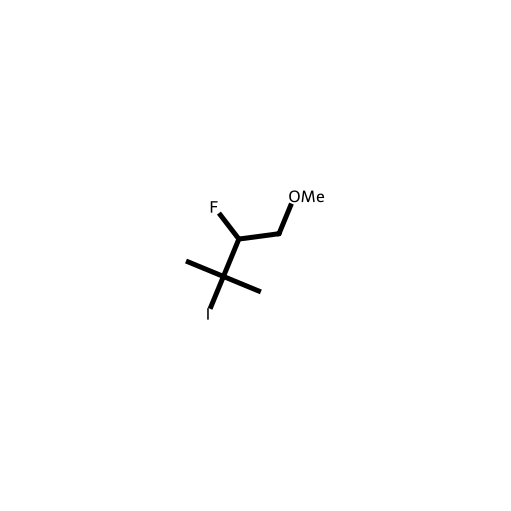 COCC(F)C(C)(C)I